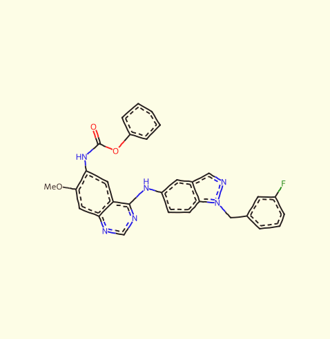 COc1cc2ncnc(Nc3ccc4c(cnn4Cc4cccc(F)c4)c3)c2cc1NC(=O)Oc1ccccc1